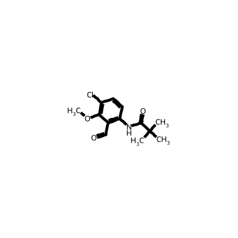 COc1c(Cl)ccc(NC(=O)C(C)(C)C)c1C=O